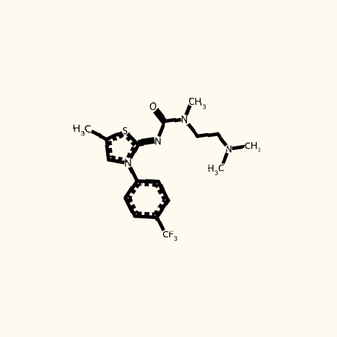 Cc1cn(-c2ccc(C(F)(F)F)cc2)c(=NC(=O)N(C)CCN(C)C)s1